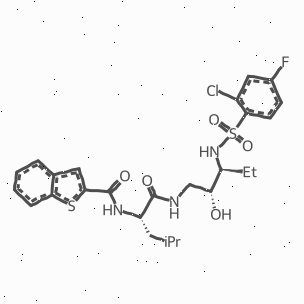 CC[C@H](NS(=O)(=O)c1ccc(F)cc1Cl)[C@H](O)CNC(=O)[C@H](CC(C)C)NC(=O)c1cc2ccccc2s1